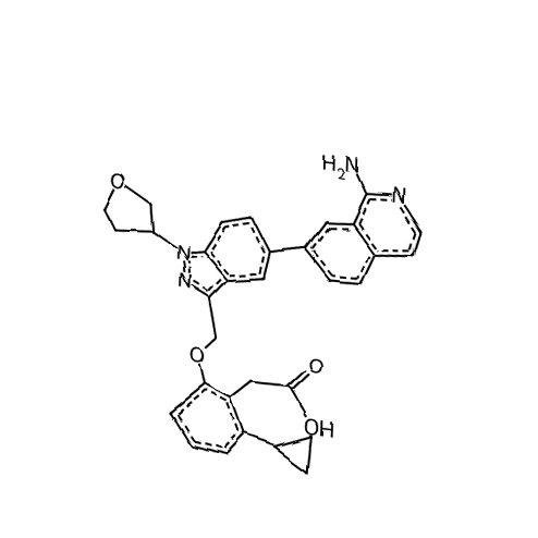 Nc1nccc2ccc(-c3ccc4c(c3)c(COc3cccc(C5CC5)c3CC(=O)O)nn4C3CCOC3)cc12